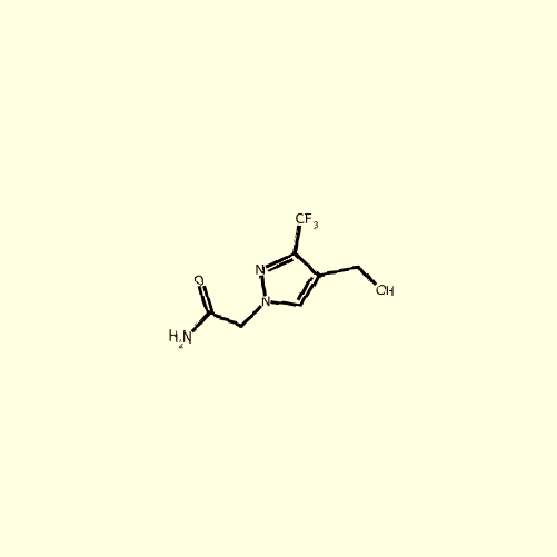 NC(=O)Cn1cc(CO)c(C(F)(F)F)n1